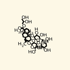 C=C1C[C@@]23CC[C@H]4[C@@](C)(CCC[C@@]4(C)C(=O)OC[C@H](O)CO)[C@@H]2CC[C@]1(O[C@@H]1O[C@H](CO)[C@@H](O)[C@H](O[C@@H]2O[C@H](CO)C[C@H](O)[C@H]2O)[C@H]1O[C@@H]1O[C@H](CO)[C@@H](O)[C@H](O)[C@H]1O)C3